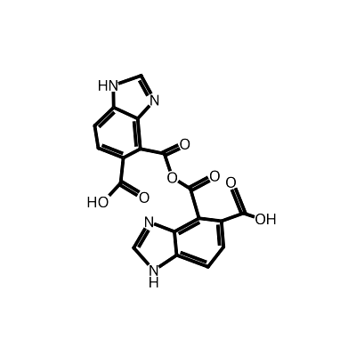 O=C(O)c1ccc2[nH]cnc2c1C(=O)OC(=O)c1c(C(=O)O)ccc2[nH]cnc12